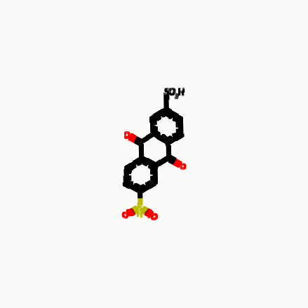 O=C1c2ccc(S(=O)(=O)O)cc2C(=O)c2ccc([SH](=O)=O)cc21